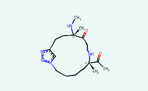 CN[C@@]1(C)CCc2cn(nn2)CCCC[C@@](C)(C(C)=O)NCC1=O